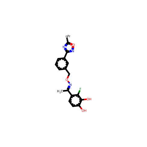 CCCc1nc(-c2cccc(CO/N=C(\C)c3ccc(O)c(O)c3F)c2)no1